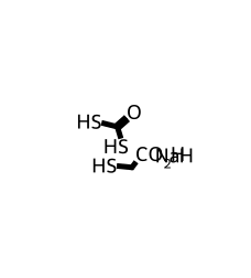 O=C(O)CS.O=C(S)S.[NaH]